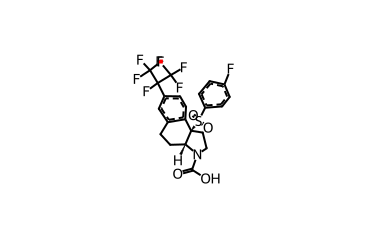 O=C(O)N1CC[C@@]2(S(=O)(=O)c3ccc(F)cc3)c3ccc(C(F)(C(F)(F)F)C(F)(F)F)cc3CC[C@@H]12